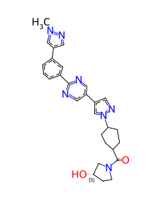 Cn1cc(-c2cccc(-c3ncc(-c4cnn(C5CCC(C(=O)N6CC[C@H](O)C6)CC5)c4)cn3)c2)cn1